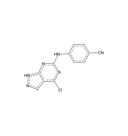 N#Cc1ccc(Nc2nc(Cl)c3cn[nH]c3n2)cc1